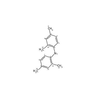 Cc1ccc([N]c2ccc(C)cc2C)c(C)c1